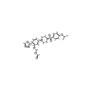 CC(C)Oc1ccc(S(=O)(=O)N2CCN(c3ccc(-c4nncs4)c(OCOC=O)c3)CC2)cc1